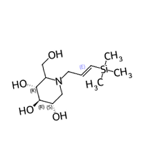 C[Si](C)(C)/C=C/CN1C[C@H](O)[C@@H](O)[C@H](O)C1CO